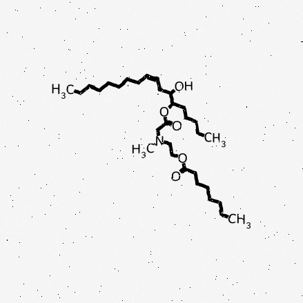 CCCCCCCC/C=C\CC(O)C(CCCCC)OC(=O)CN(C)CCOC(=O)CCCCCCC